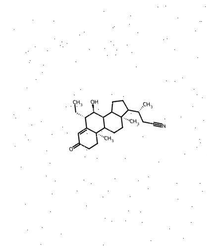 CC[C@H]1C2=CC(=O)CC[C@]2(C)C2CC[C@@]3(C)C(CCC3[C@H](C)CC#N)C2[C@@H]1O